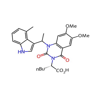 CCCC[C@@H](C(=O)O)n1c(=O)c2cc(OC)c(OC)cc2n(C(C)c2c[nH]c3cccc(C)c23)c1=O